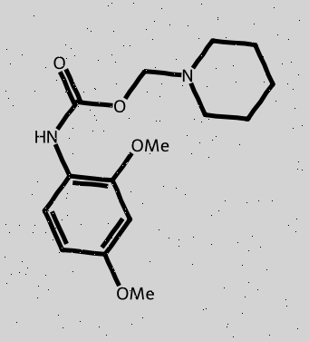 COc1ccc(NC(=O)OCN2CCCCC2)c(OC)c1